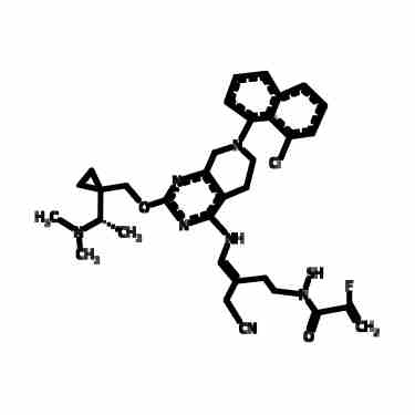 C=C(F)C(=O)N(S)CC/C(=C\Nc1nc(OCC2([C@H](C)N(C)C)CC2)nc2c1CCN(c1cccc3cccc(Cl)c13)C2)CC#N